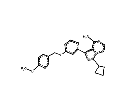 Nc1nccn2c(C3CCC3)nc(-c3cccc(OCc4ccc(OC(F)(F)F)cc4)c3)c12